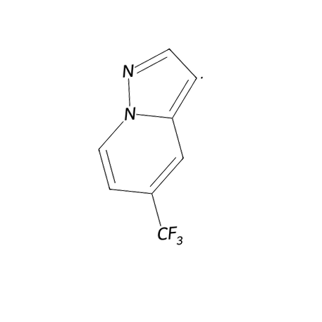 FC(F)(F)c1ccn2nc[c]c2c1